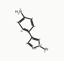 CC(C)n1cc(-c2ccc(N)cc2)cn1